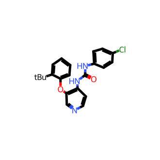 CC(C)(C)c1ccccc1Oc1cnccc1NC(=O)Nc1ccc(Cl)cc1